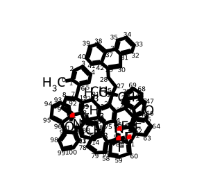 Cc1ccccc1-c1ccc2oc3ccccc3c2c1C(C)c1c(C(C)(C)CCc2cc3ccccc3c3ccccc23)c(-c2ccccc2C(F)(F)F)c(-n2c3ccccc3c3ccc4oc5ccccc5c4c32)c(-c2ccccc2C(F)(F)F)c1C(C)(C)n1c2ccccc2c2ccccc21